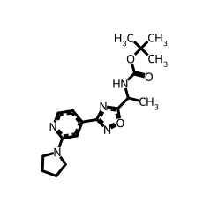 CC(NC(=O)OC(C)(C)C)c1nc(-c2ccnc(N3CCCC3)c2)no1